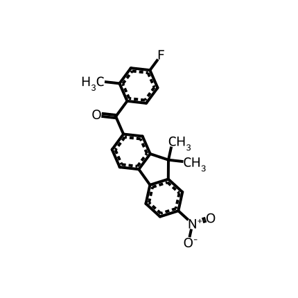 Cc1cc(F)ccc1C(=O)c1ccc2c(c1)C(C)(C)c1cc([N+](=O)[O-])ccc1-2